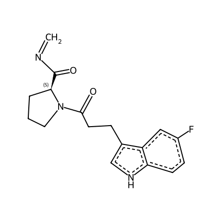 C=NC(=O)[C@@H]1CCCN1C(=O)CCc1c[nH]c2ccc(F)cc12